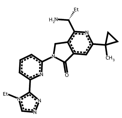 CC[C@@H](N)c1nc(C2(C)CC2)cc2c1CN(c1cccc(-c3nncn3CC)n1)C2=O